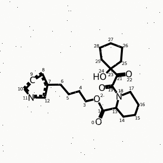 O=C(OCCCCc1cccnc1)C1CCCCN1C(=O)C(=O)C1(O)CCCCC1